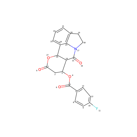 O=C1CC(OC(=O)c2ccc(F)cc2)C2C(=O)N3CCc4cccc(c43)C2O1